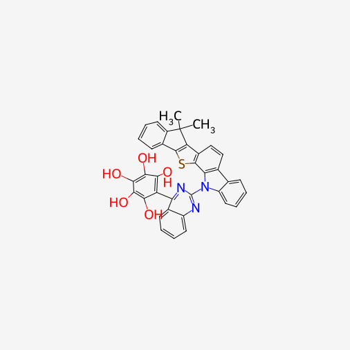 CC1(C)c2ccccc2-c2sc3c(ccc4c5ccccc5n(-c5nc(-c6c(O)c(O)c(O)c(O)c6O)c6ccccc6n5)c43)c21